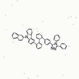 c1ccc(-c2nnc(-c3ccc(-c4ccccc4-c4ccccc4-c4ccc5c(c4)c4ccccc4n5-c4ccc5ccccc5c4)cc3)n2-c2ccccc2)cc1